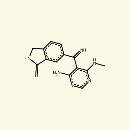 CNc1ncnc(N)c1C(=N)c1ccc2c(c1)C(=O)NC2